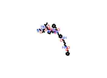 CCC(C)C(C(CC(=O)N1CCCC1C(O)[C@@H](C)C(=O)N[C@@H](Cc1ccccc1)C(=O)NCCc1ccc(NC(=O)CCCCCNC(=O)OCc2ccccc2)cc1)OC)N(C)C(=O)[C@@H](NC(=O)CN(C)C)C(C)C